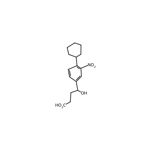 O=C(O)CCC(O)c1ccc(C2CCCCC2)c([N+](=O)[O-])c1